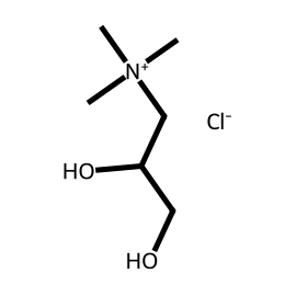 C[N+](C)(C)CC(O)CO.[Cl-]